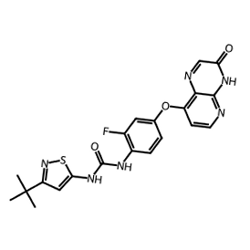 CC(C)(C)c1cc(NC(=O)Nc2ccc(Oc3ccnc4[nH]c(=O)cnc34)cc2F)sn1